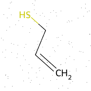 C=CCS